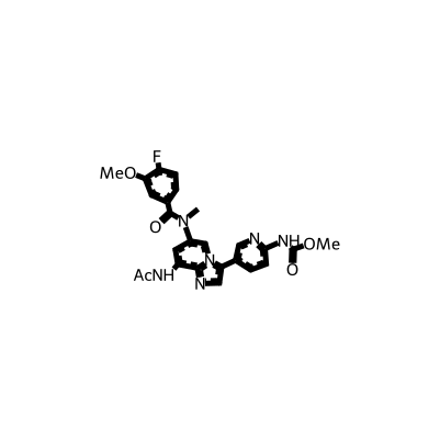 COC(=O)Nc1ccc(-c2cnc3c(NC(C)=O)cc(N(C)C(=O)c4ccc(F)c(OC)c4)cn23)cn1